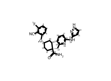 N#Cc1c(F)cccc1O[C@H]1CC[C@](Cc2cccc(Nc3cc[nH]n3)n2)(C(N)=O)CC1